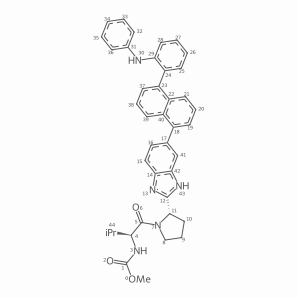 COC(=O)N[C@H](C(=O)N1CCC[C@H]1c1nc2ccc(-c3cccc4c(-c5ccccc5Nc5ccccc5)cccc34)cc2[nH]1)C(C)C